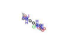 COC(=O)N[C@H](C(=O)N1[C@@H](C)CC[C@H]1c1nc(Cl)c(-c2ccc(-c3ccc(-c4[nH]c([C@@H]5CCCN5C(=O)CC(C)C)nc4CI)cc3)cc2)[nH]1)C(C)C